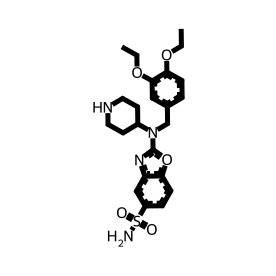 CCOc1ccc(CN(c2nc3cc(S(N)(=O)=O)ccc3o2)C2CCNCC2)cc1OCC